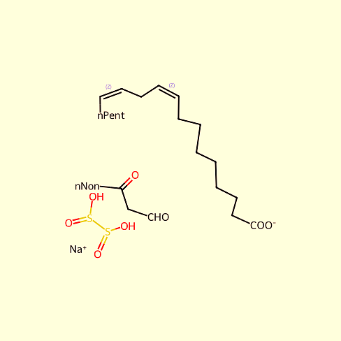 CCCCC/C=C\C/C=C\CCCCCCCC(=O)[O-].CCCCCCCCCC(=O)CC=O.O=S(O)S(=O)O.[Na+]